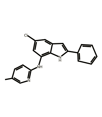 Cc1ccc(Nc2cc(Cl)cc3cc(-c4ccccc4)[nH]c23)nc1